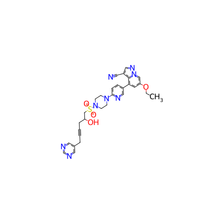 CCOc1cc(-c2ccc(N3CCN(S(=O)(=O)CC(O)CC#CCc4cncnc4)CC3)nc2)c2c(C#N)cnn2c1